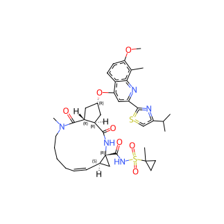 COc1ccc2c(O[C@@H]3C[C@H]4C(=O)N[C@]5(C(=O)NS(=O)(=O)C6(C)CC6)C[C@H]5C=CCCCCN(C)C(=O)[C@@H]4C3)cc(-c3nc(C(C)C)cs3)nc2c1C